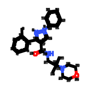 Cc1ccccc1-c1nn(-c2ccccc2)cc1C(=O)NCC(C)(C)N1CCOCC1